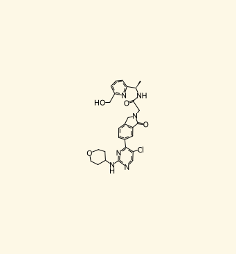 C[C@@H](NC(=O)CN1Cc2ccc(-c3nc(NC4CCOCC4)ncc3Cl)cc2C1=O)c1cccc(CO)n1